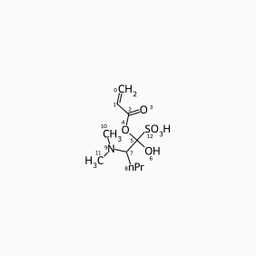 C=CC(=O)OC(O)(C(CCC)N(C)C)S(=O)(=O)O